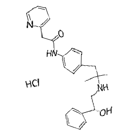 CC(C)(Cc1ccc(NC(=O)Cc2ccccn2)cc1)NC[C@H](O)c1ccccc1.Cl